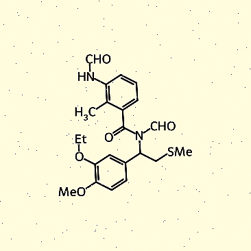 CCOc1cc(C(CSC)N(C=O)C(=O)c2cccc(NC=O)c2C)ccc1OC